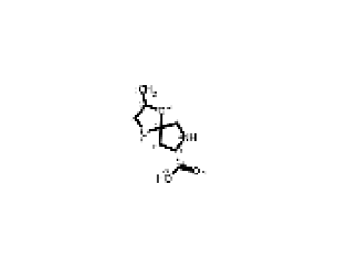 CC1COC2(CN[C@H](C(=O)O)C2)O1